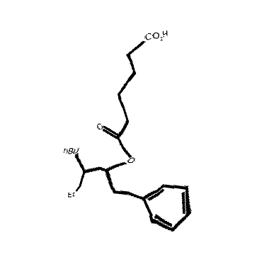 CCCCC(CC)C(Cc1ccccc1)OC(=O)CCCCC(=O)O